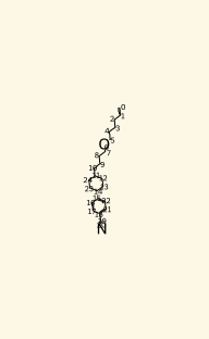 C=CCCCCOCCCC[C@H]1CC[C@H](c2ccc(C#N)cc2)CC1